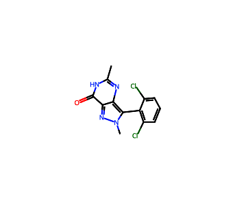 Cc1nc2c(-c3c(Cl)cccc3Cl)n(C)nc2c(=O)[nH]1